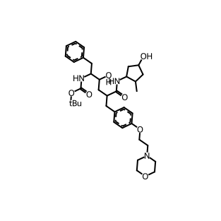 CC1CC(O)CC1NC(=O)C(Cc1ccc(OCCN2CCOCC2)cc1)CC(O)C(Cc1ccccc1)NC(=O)OC(C)(C)C